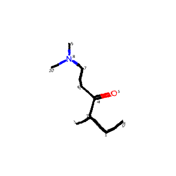 CCC(C)C(=O)CCN(C)C